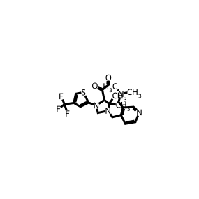 CN(C)Cc1cnccc1CN1CN(c2cc(C(F)(F)F)cs2)C(C(=O)C=O)C1(C)C